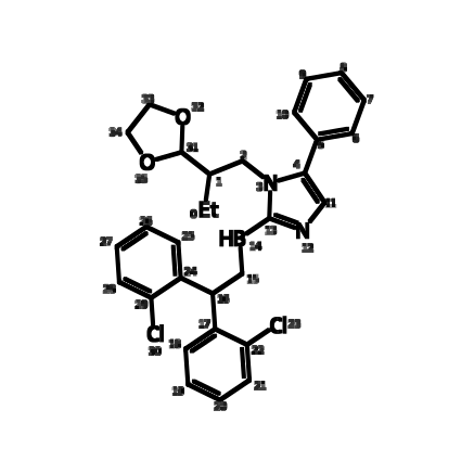 CCC(Cn1c(-c2ccccc2)cnc1BCC(c1ccccc1Cl)c1ccccc1Cl)C1OCCO1